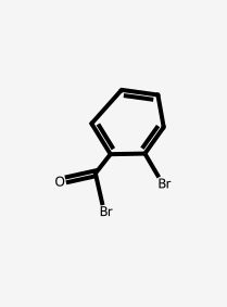 O=C(Br)c1ccccc1Br